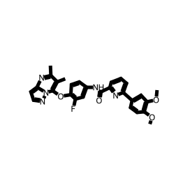 COc1ccc(-c2cccc(C(=O)Nc3ccc(Oc4c(C)c(C)nc5ccnn45)c(F)c3)n2)cc1OC